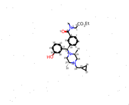 CCOC(=O)CN(C)C(=O)c1cccc([C@H](c2cccc(O)c2)N2C[C@@H](C)N(CC3CC3)C[C@@H]2C)c1